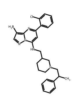 Bc1cnn2c(NCC3CCCN(CC(C)c4ccccc4)C3)cc(-c3ccccc3Cl)nc12